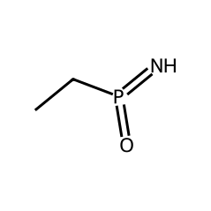 CCP(=N)=O